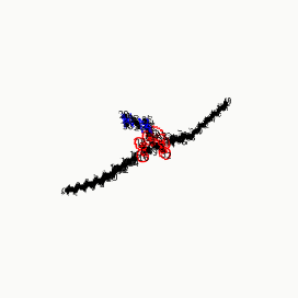 CCCCCCCCCCCCCCCCOC(=O)C[C@H](OC(=O)N(C)CCN(C)C)C(=O)OCCCCCCCCCCCCCCCC